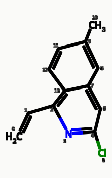 C=Cc1nc(Cl)cc2cc(C)ccc12